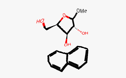 COC1O[C@H](CO)[C@H](O)[C@H]1O.c1ccc2ccccc2c1